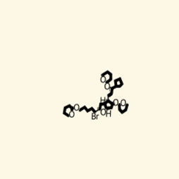 BrC(CCCCOC1CCCCO1)[C@H]1C[C@@H]2[C@@H](C=C[C@@H](OC3CCCCO3)C3CCCC3)[C@H](OC3CCCCO3)C[C@H]2O1